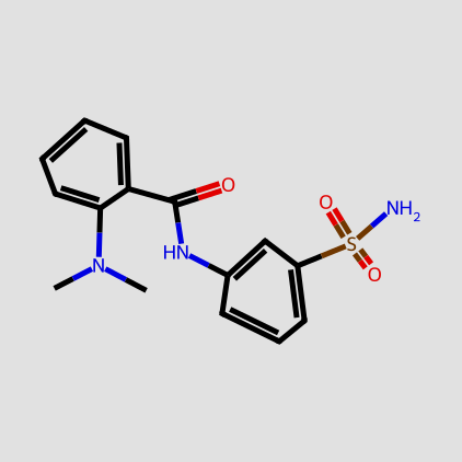 CN(C)c1ccccc1C(=O)Nc1cccc(S(N)(=O)=O)c1